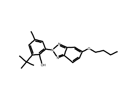 CCCCOc1ccc2nn(-c3cc(C)cc(C(C)(C)C)c3O)nc2c1